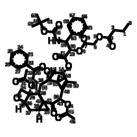 CCCC(=O)OCC(=O)O[C@@H](C(=O)O[C@H]1C[C@@]2(O)[C@@H](CC(=O)c3ccccc3)[C@@H]3[C@]4(OC(C)=O)CO[C@@H]4C[C@@H]4C[C@@]43C(=O)[C@H](OC(C)=O)C(=C1C)C2(C)C)[C@@H](NC(=O)OC(C)(C)C)c1ccccc1